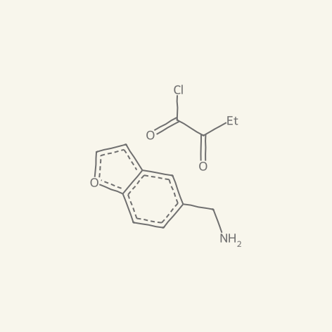 CCC(=O)C(=O)Cl.NCc1ccc2occc2c1